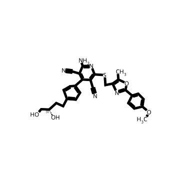 COc1ccc(-c2nc(CSc3nc(N)c(C#N)c(-c4ccc(CC[C@H](O)CO)cc4)c3C#N)c(C)o2)cc1